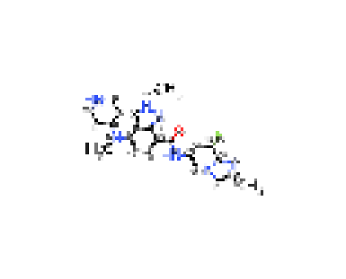 CCn1cc2c(N(C)C3CCNCC3)ccc(C(=O)Nc3cc(F)c4nc(C)cn4c3)c2n1